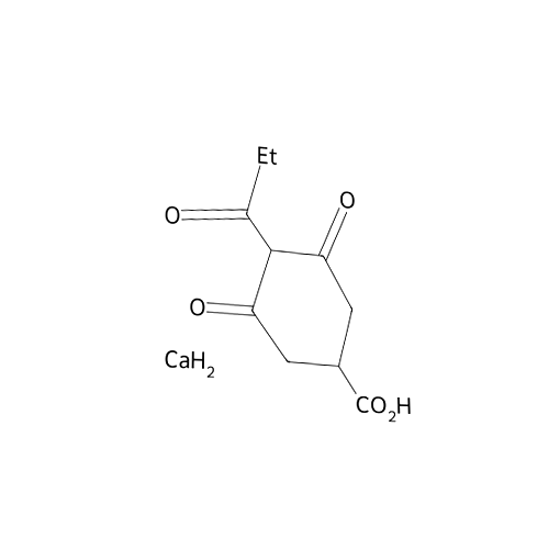 CCC(=O)C1C(=O)CC(C(=O)O)CC1=O.[CaH2]